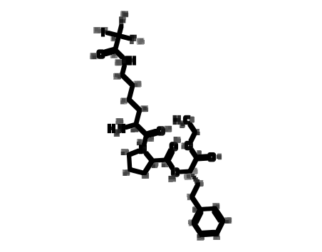 CCOC(=O)[C@H](CCc1ccccc1)OC(=O)C1CCCN1C(=O)C(N)CCCCNC(=O)C(F)(F)F